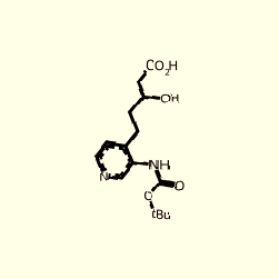 CC(C)(C)OC(=O)Nc1cnccc1CCC(O)CC(=O)O